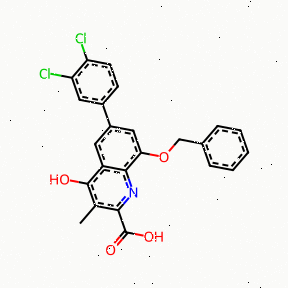 Cc1c(C(=O)O)nc2c(OCc3ccccc3)cc(-c3ccc(Cl)c(Cl)c3)cc2c1O